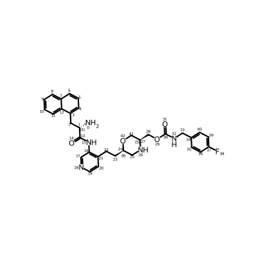 N[C@@H](Cc1cccc2ccccc12)C(=O)Nc1cnccc1CC[C@@H]1CN[C@H](COC(=O)NCc2ccc(F)cc2)CO1